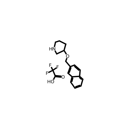 O=C(O)C(F)(F)F.c1ccc2cc(COC3CCCNC3)ccc2c1